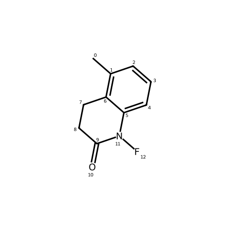 Cc1cccc2c1CCC(=O)N2F